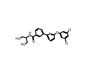 O=C(NC(CO)CO)c1cccc(-c2cccc(Oc3cc(Cl)cc(Cl)c3)n2)c1